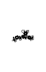 CC(=O)N(C)C1CCN(CC(=O)N2CC(c3ccc(Cl)c(Cl)c3)C(C(C)Oc3ccc(C(F)(F)F)cc3)C2)CC1